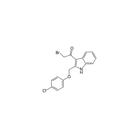 O=C(CBr)c1c(COc2ccc(Cl)cc2)[nH]c2ccccc12